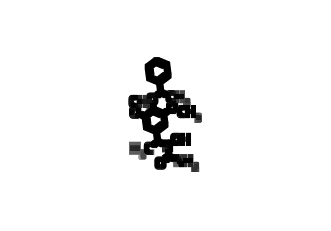 COc1cc(C(C)N(O)C(N)=O)cc(OC)c1OC(C)c1ccccc1